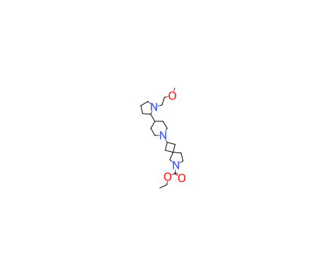 CCOC(=O)N1CCC2(CC(N3CCC(C4CCCN4CCOC)CC3)C2)C1